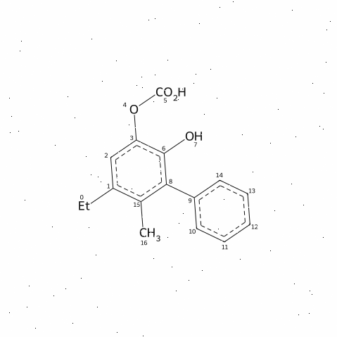 CCc1cc(OC(=O)O)c(O)c(-c2ccccc2)c1C